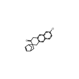 O=C1Cc2cc3cc(Cl)ccc3cc2CC12CC1C=CC2C1